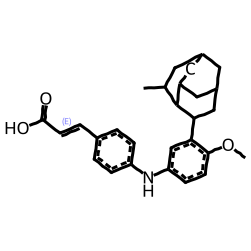 COc1ccc(Nc2ccc(/C=C/C(=O)O)cc2)cc1C1CC2CC3CC(C)C1C(C3)C2